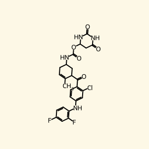 CC1=CCC(NC(=O)OC2CC(=O)NC(=O)N2)CC1C(=O)c1ccc(Nc2ccc(F)cc2F)cc1Cl